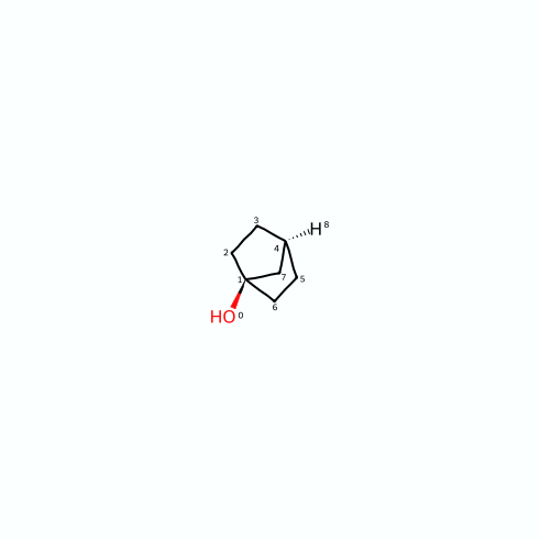 O[C@]12CC[C@@H](CC1)C2